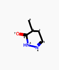 CC1C[C]=NNC1=O